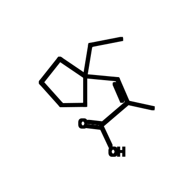 CCC1(C=C(C)C(=O)O)CCCC1